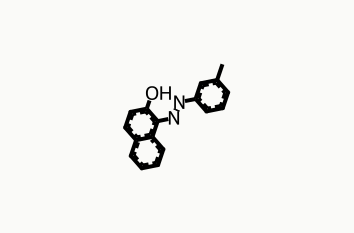 Cc1cccc(N=Nc2c(O)ccc3ccccc23)c1